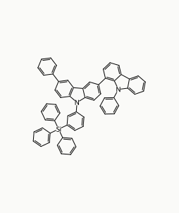 c1ccc(-c2ccc3c(c2)c2cc(-c4cccc5c6ccccc6n(-c6ccccc6)c45)ccc2n3-c2cccc([Si](c3ccccc3)(c3ccccc3)c3ccccc3)c2)cc1